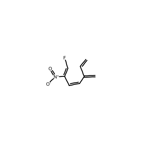 C=CC(=C)/C=C\C(=C\F)[N+](=O)[O-]